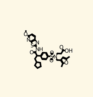 COc1ccc2nc(NC(=O)C(CC3CCCC3)c3ccc(S(=O)(=O)N(CCC(=O)O)Cc4cc(C)oc4C)cc3)sc2n1